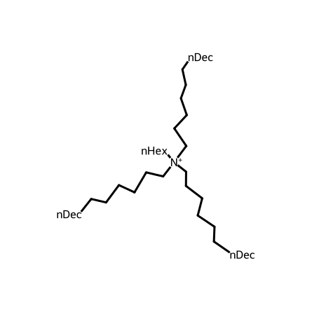 CCCCCCCCCCCCCCCC[N+](CCCCCC)(CCCCCCCCCCCCCCCC)CCCCCCCCCCCCCCCC